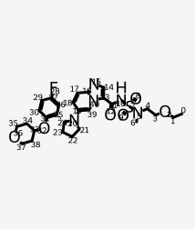 CCOCCN(C)S(=O)(=O)NC(=O)c1cnc2ccc(N3CCC[C@@H]3c3cc(F)ccc3OC3CCOCC3)cn12